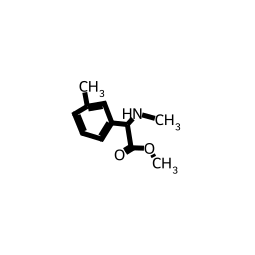 CNC(C(=O)OC)c1cccc(C)c1